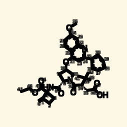 C=C1CCC1(NC(=O)[C@@H]1C[C@@H](Oc2cc(-c3ccccc3)nc3cc(OC)ccc23)CN1C(=O)[C@@H](CC(=O)O)C(C)(C)C)C(=O)OCC